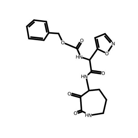 O=C(NC(C(=O)NC1CCCNC(=O)C1=O)c1ccno1)OCc1ccccc1